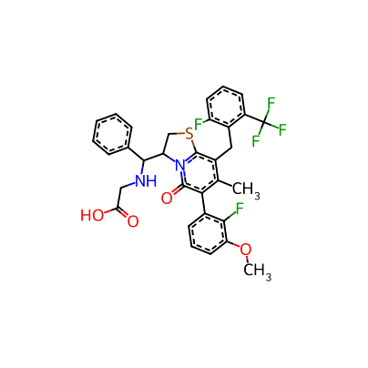 COc1cccc(-c2c(C)c(Cc3c(F)cccc3C(F)(F)F)c3n(c2=O)C(C(NCC(=O)O)c2ccccc2)CS3)c1F